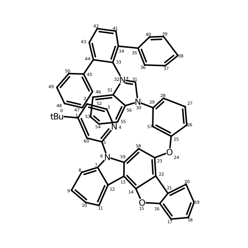 CC(C)(C)c1ccnc(-n2c3ccccc3c3c4oc5ccccc5c4c(Oc4cccc(-n5c[n+](-c6c(-c7ccccc7)cccc6-c6ccccc6)c6ccccc65)c4)cc32)c1